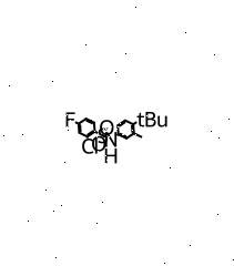 Cc1cc(NS(=O)(=O)c2ccc(F)cc2Cl)ccc1C(C)(C)C